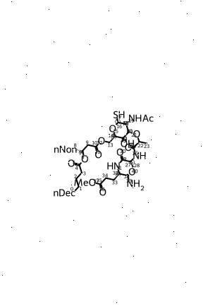 CCCCCCCCCCCCCC(=O)O[C@H](CCCCCCCCC)CC(=O)OC[C@H]1O[C@@H](S)[C@H](NC(C)=O)[C@H](OC(C)C(=O)N[C@@H](C)C(=O)N[C@H](CCC(=O)OC)C(N)=O)[C@@H]1O